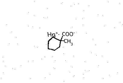 CC1(C(=O)[O-])CCCCC1.[Hg+]